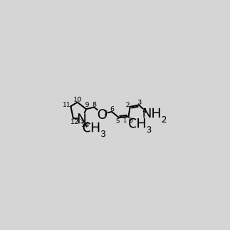 CC(/C=C\N)=C/COCC1CCCN1C